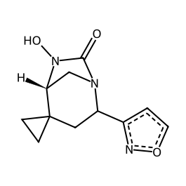 O=C1N2C[C@@H](N1O)C1(CC1)CC2c1ccon1